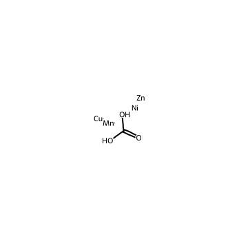 O=C(O)O.[Cu].[Mn].[Ni].[Zn]